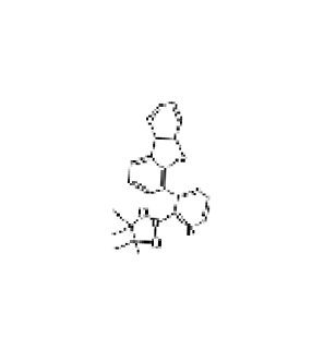 CC1(C)OB(c2ncccc2-c2cccc3c2SC2C=CC=CC32)OC1(C)C